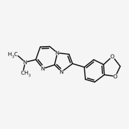 CN(C)c1ccn2cc(-c3ccc4c(c3)OCO4)nc2n1